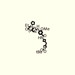 CC[C@@H]1C(=O)N(C)c2cnc(Nc3ccc(C(=O)NC4CC(CC5CN(C(=O)OC(C)(C)C)C5)C4)cc3OC)nc2N1C1CCCC1